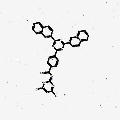 N=C(/N=c1/nc(Cl)cc(Cl)[nH]1)c1ccc(-c2nc(-c3ccc4ccccc4c3)nc(-c3ccc4ccccc4c3)n2)cc1